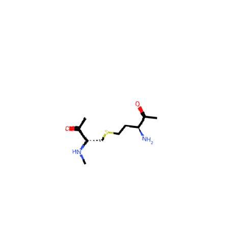 CN[C@@H](CSCC[C@H](N)C(C)=O)C(C)=O